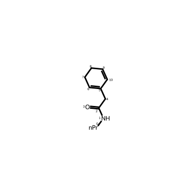 CCCNC(=O)CC1=CCCC=C1